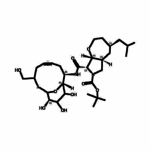 CC(C)C[C@@H]1CCO[C@@H]2[C@@H](C1)CN(C(=O)OC(C)(C)C)[C@@H]2C(=O)N[C@@H]1C/C=C\CC(CO)SC2O[C@H]1C(O)C(O)[C@H]2O